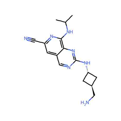 CC(C)Nc1nc(C#N)cc2cnc(N[C@H]3C[C@H](CN)C3)nc12